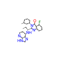 CC[C@H](Nc1ccnc2[nH]cnc12)c1nc2cccc(F)c2c(=O)n1-c1cccc(C)c1